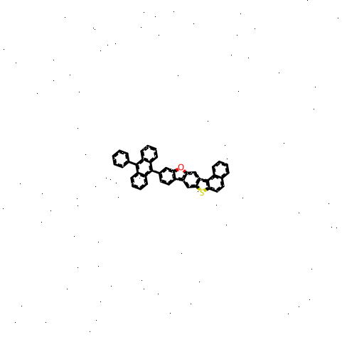 c1ccc(-c2c3ccccc3c(-c3ccc4c(c3)oc3cc5c(cc34)sc3ccc4ccccc4c35)c3ccccc23)cc1